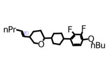 CCC/C=C/C1CCC(C2CCC(c3ccc(OCCCC)c(F)c3F)CC2)OC1